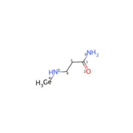 NC(=O)CC[NH][GeH3]